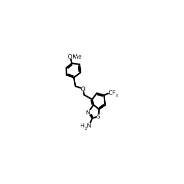 COc1ccc(COCc2cc(C(F)(F)F)cc3sc(N)nc23)cc1